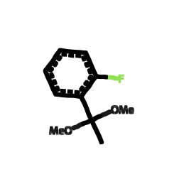 COC(C)(OC)c1ccccc1F